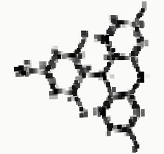 Cc1cnc2c(c1)Sc1cc(C)cnc1N2c1c(C)cc(C(C)(C)C)cc1C